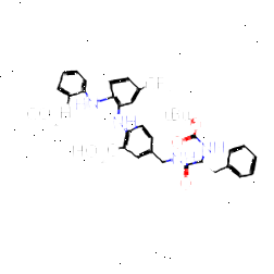 CC(C)(C)OC(=O)N[C@@H](Cc1ccccc1)C(=O)NCc1ccc(Nc2cc(C(F)(F)F)ccc2Nc2ccccc2C(=O)O)c(C(=O)O)c1